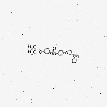 CC(C)COc1ccc(C(=O)Nc2ccc(N3CCC(NC4CCCC4)C3)cc2)cc1